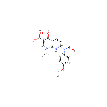 CCOc1ccc(N(C=O)c2ccc3c(=O)c(C(=O)O)cn(CC)c3n2)cc1